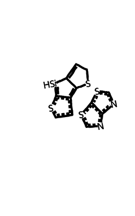 C1=C2[SiH]=c3sccc3=C2SC1.c1nc2ncsc2s1